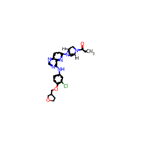 C=CC(=O)N1C[C@@H]2C[C@H]1CN2c1ccc2ncnc(Nc3ccc(OCC4CCOC4)c(Cl)c3)c2n1